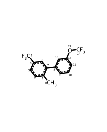 Cc1ccc(C(F)(F)F)cc1-c1cccc(OC(F)(F)F)c1